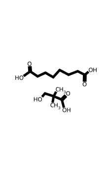 CC(C)(CO)C(=O)O.O=C(O)CCCCCCC(=O)O